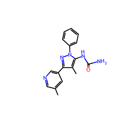 Cc1cncc(-c2nn(-c3ccccc3)c(NC(N)=O)c2C)c1